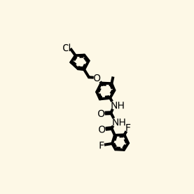 Cc1cc(NC(=O)NC(=O)c2c(F)cccc2F)ccc1OCc1ccc(Cl)cc1